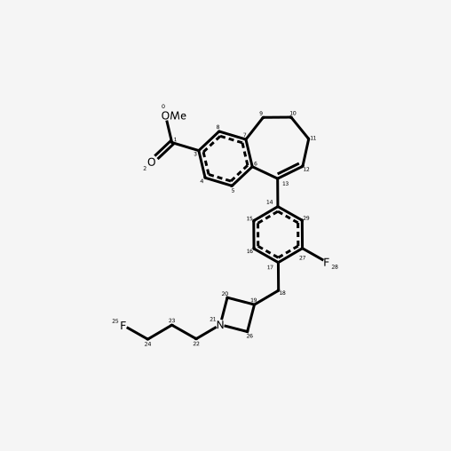 COC(=O)c1ccc2c(c1)CCCC=C2c1ccc(CC2CN(CCCF)C2)c(F)c1